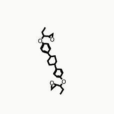 CCC(Oc1ccc(C2CCC(c3ccc(OC(CC)C4CO4)cc3)CC2)cc1)C1CO1